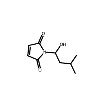 CC(C)CC(O)N1C(=O)C=CC1=O